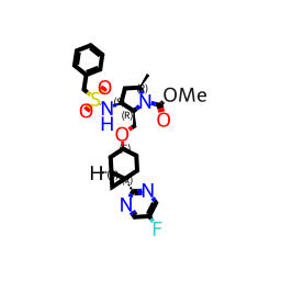 COC(=O)N1[C@H](C)C[C@H](NS(=O)(=O)Cc2ccccc2)[C@@H]1CO[C@H]1CC[C@@]2(c3ncc(F)cn3)C[C@H]2C1